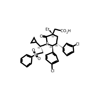 CC[C@@]1(CC(=O)O)C[C@H](c2cccc(Cl)c2)[C@@H](c2ccc(Cl)cc2)N([C@H](CS(=O)(=O)c2ccccc2)C2CC2)C1=O